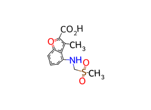 Cc1c(C(=O)O)oc2cccc(NCS(C)(=O)=O)c12